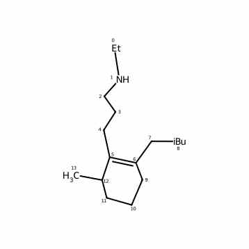 CCNCCCC1=C(CC(C)CC)CCCC1C